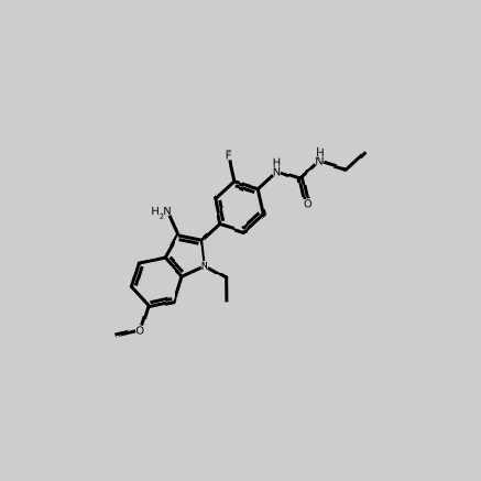 CCNC(=O)Nc1ccc(-c2c(N)c3ccc(OC)cc3n2CC)cc1F